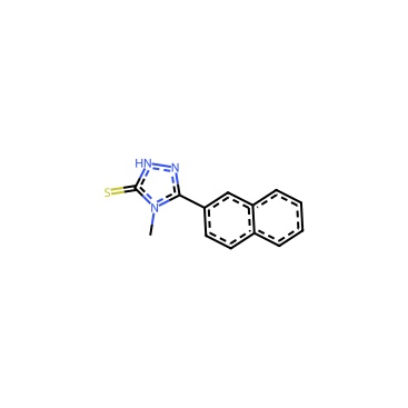 Cn1c(-c2ccc3ccccc3c2)n[nH]c1=S